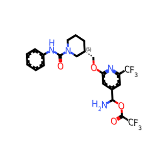 NC(OC(=O)C(F)(F)F)c1cc(OC[C@H]2CCCN(C(=O)Nc3ccccc3)C2)nc(C(F)(F)F)c1